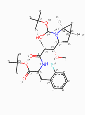 CO[C@H]([C@@H](C)C(=O)N[C@@H](Cc1ccccc1F)C(=O)OC(C)(C)C)[C@@H]1C[C@@H]2C[C@@H]2N1C(O)OC(C)(C)C